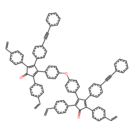 C=Cc1ccc(C2=C(c3ccc(C#Cc4ccccc4)cc3)C(c3ccc(Oc4ccc(C5=C(c6ccc(C=C)cc6)C(=O)C(c6ccc(C=C)cc6)=C5c5ccc(C#Cc6ccccc6)cc5)cc4)cc3)=C(c3ccc(C=C)cc3)C2=O)cc1